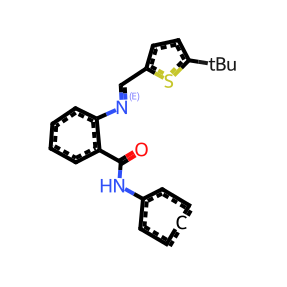 CC(C)(C)c1ccc(/C=N/c2ccccc2C(=O)Nc2ccccc2)s1